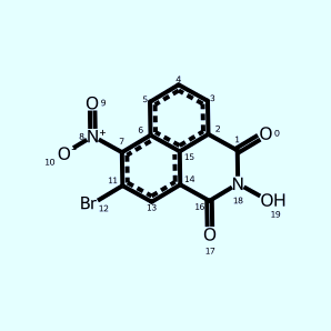 O=C1c2cccc3c([N+](=O)[O-])c(Br)cc(c23)C(=O)N1O